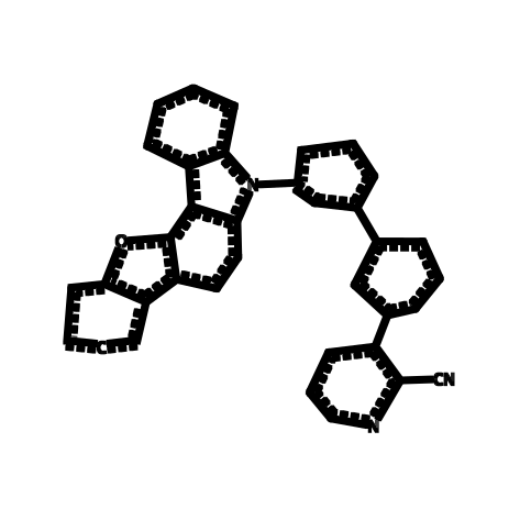 N#Cc1ncccc1-c1cccc(-c2cccc(-n3c4ccccc4c4c5oc6ccccc6c5ccc43)c2)c1